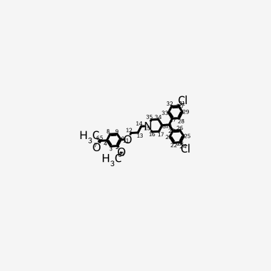 COc1cc(C(C)=O)ccc1OCCCN1CCC(C(c2ccc(Cl)cc2)c2ccc(Cl)cc2)CC1